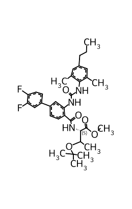 CCCc1cc(C)c(NC(=O)Nc2cc(-c3ccc(F)c(F)c3)ccc2C(=O)N[C@H](C(=O)OC)C(C)OC(C)(C)C)c(C)c1